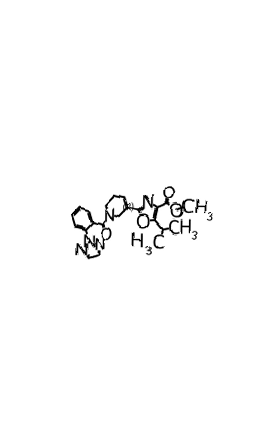 COC(=O)c1nc([C@@H]2CCCN(C(=O)c3ccccc3-n3nccn3)C2)oc1C(C)C